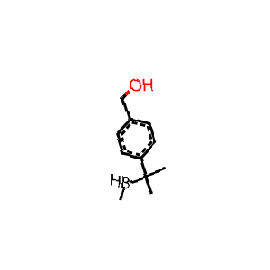 CBC(C)(C)c1ccc(CO)cc1